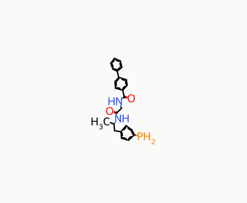 CC(Cc1ccc(P)cc1)NC(=O)CNC(=O)c1ccc(-c2ccccc2)cc1